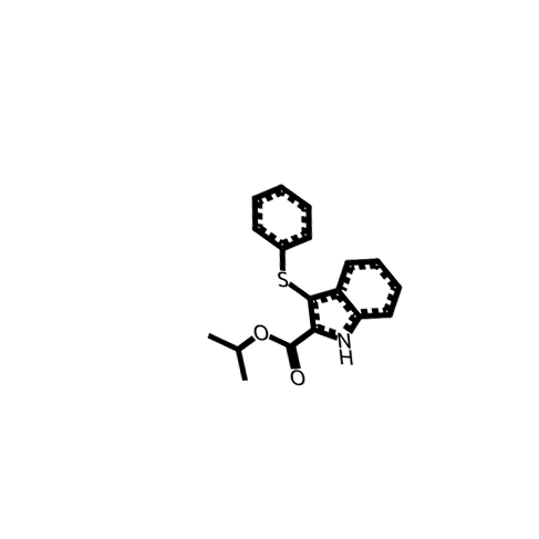 CC(C)OC(=O)c1[nH]c2ccccc2c1Sc1ccccc1